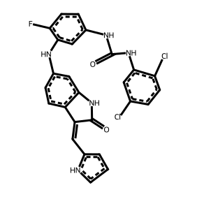 O=C(Nc1ccc(F)c(Nc2ccc3c(c2)NC(=O)/C3=C\c2ccc[nH]2)c1)Nc1cc(Cl)ccc1Cl